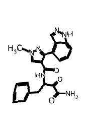 Cn1cc(C(=O)NC(Cc2ccccc2)C(=O)C(N)=O)c(-c2cccc3[nH]ncc23)n1